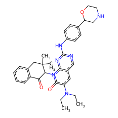 CCN(CC)c1cc2cnc(Nc3ccc(C4CNCCO4)cc3)nc2n(C2C(=O)c3ccccc3CC2(C)C)c1=O